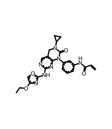 C=CC(=O)Nc1cccc(N2C(=O)N(C3CC3)Cc3cnc(Nc4nc(OCC)co4)nc32)c1